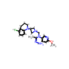 COc1ccc(N(CN2CC(N3CCCc4c(F)cccc43)C2)/C(C)=N\N)cn1